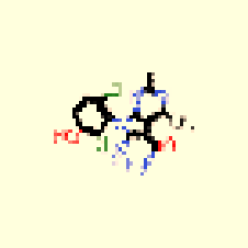 Cc1nc(C(F)(F)F)c2c(C(N)=O)c(N)n(-c3c(Cl)ccc(O)c3Cl)c2n1